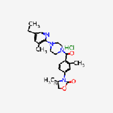 CCc1cnc(N2CCN(C(=O)c3ccc(N4C(=O)OC[C@H]4C)cc3C)CC2)c(C)c1.Cl